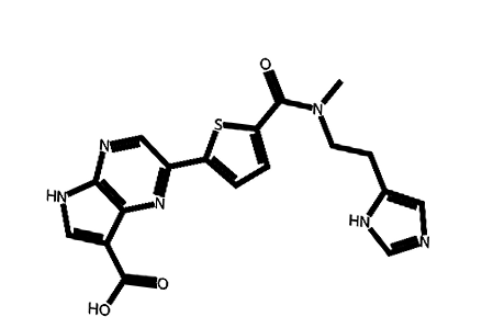 CN(CCc1cnc[nH]1)C(=O)c1ccc(-c2cnc3[nH]cc(C(=O)O)c3n2)s1